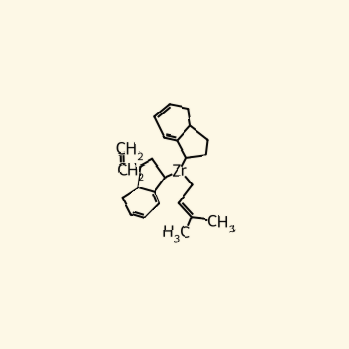 C=C.CC(C)=C[CH2][Zr]([CH]1CCC2CC=CC=C21)[CH]1CCC2CC=CC=C21